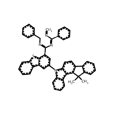 C=N/C(=N\C(=N/Cc1ccccc1)c1cc(-n2c3ccccc3c3c4c(ccc32)-c2ccccc2C4(C)C)cc2c1sc1ccccc12)c1ccccc1